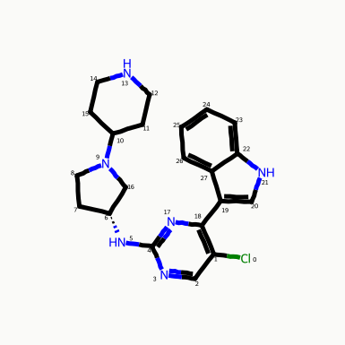 Clc1cnc(N[C@@H]2CCN(C3CCNCC3)C2)nc1-c1c[nH]c2ccccc12